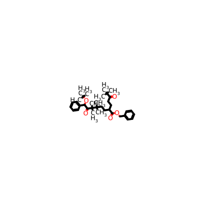 CC(C)(C)OC(C(=O)C(C)(C)C(C)(C)CCC(CCC(=O)C(C)(C)C)C(=O)OCc1ccccc1)c1ccccc1